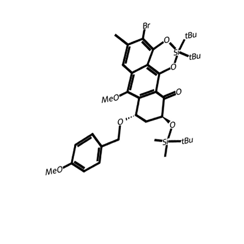 COc1ccc(CO[C@H]2C[C@H](O[Si](C)(C)C(C)(C)C)C(=O)c3c2c(OC)c2cc(C)c(Br)c4c2c3O[Si](C(C)(C)C)(C(C)(C)C)O4)cc1